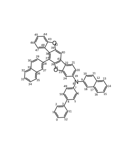 c1ccc(-c2ccc(N(c3ccc4ccccc4c3)c3ccc4c(c3)oc3c(-c5ccc6ccccc6c5)c5c(cc34)oc3ccccc35)cc2)cc1